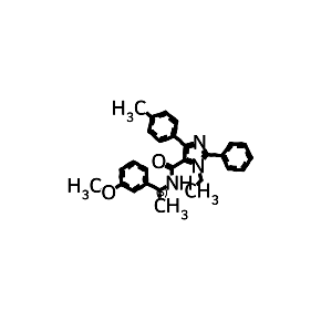 CCn1c(-c2ccccc2)nc(-c2ccc(C)cc2)c1C(=O)N[C@@H](C)c1cccc(OC)c1